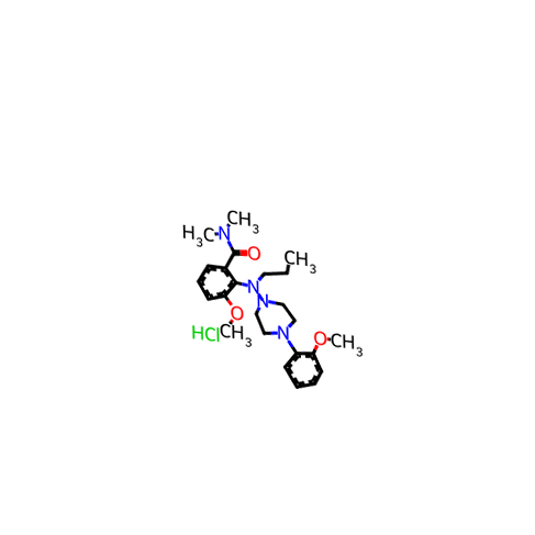 CCCN(c1c(OC)cccc1C(=O)N(C)C)N1CCN(c2ccccc2OC)CC1.Cl